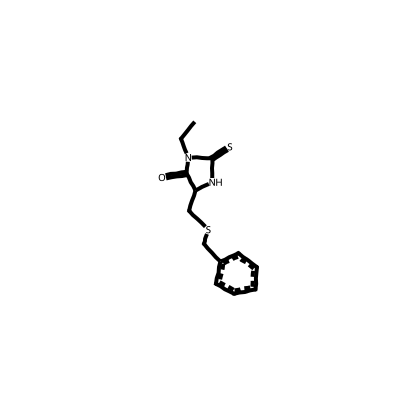 CCN1C(=O)C(CSCc2ccccc2)NC1=S